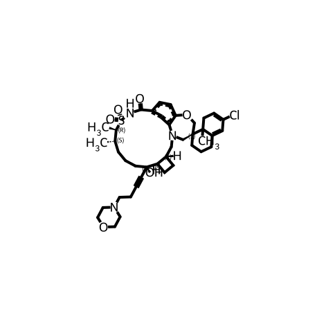 C[C@@H]1[C@@H](C)CCC[C@@](O)(C#CCCN2CCOCC2)[C@@H]2CC[C@H]2CN2C[C@@]3(CCCC4=CC(Cl)=CCC43C)COc3ccc(cc32)C(=O)NS1(=O)=O